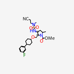 COC(=O)N1C(C)C[C@H](NS(=O)(=O)N(C)CCC#N)[C@@H]1COC1CCC(c2cccc(F)c2)CC1